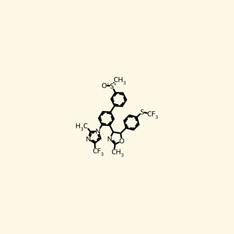 CC1=NC(c2cc(-c3cccc([S+](C)[O-])c3)ccc2-n2cc(C(F)(F)F)nc2C)C(c2ccc(SC(F)(F)F)cc2)O1